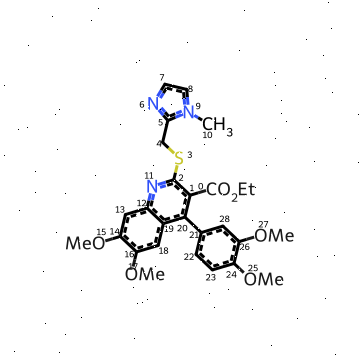 CCOC(=O)c1c(SCc2nccn2C)nc2cc(OC)c(OC)cc2c1-c1ccc(OC)c(OC)c1